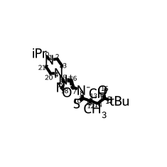 CC(C)N1CCN([n+]2cc([N-]C(=S)C(C)(C)CC(=O)C(C)(C)C)on2)CC1